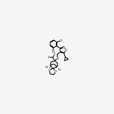 FC(F)C1(OCc2c(-c3c(Cl)cccc3Cl)noc2C2CC2)C[C@H]2CC[C@@H](C1)C21OCCO1